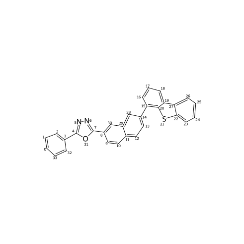 c1ccc(-c2nnc(-c3ccc4ccc(-c5cccc6c5sc5ccccc56)cc4c3)o2)cc1